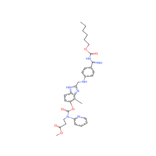 CCCCCCOC(=O)NC(=N)c1ccc(NCc2nc3c(C)c(OC(=O)N(CCC(=O)OC)c4ccccn4)ccc3[nH]2)cc1